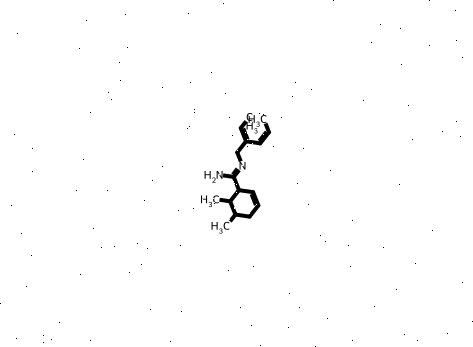 C/C=C\C(=C/C)C/N=C(\N)C1C=CCC(C)C1C